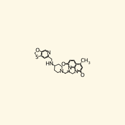 Cc1cc(=O)n2c3c1ccc(=O)n3[C@H](CN1CCC(NCc3cc4c(cn3)OCS4)CC1)C2